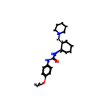 COc1ccc(NC(=O)N[C@@H]2CCCC[C@H]2CN2CCCCC2)cc1